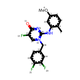 COc1ccc(C)c(Nc2nc(=O)c(F)cn2Cc2ccc(F)c(F)c2)c1